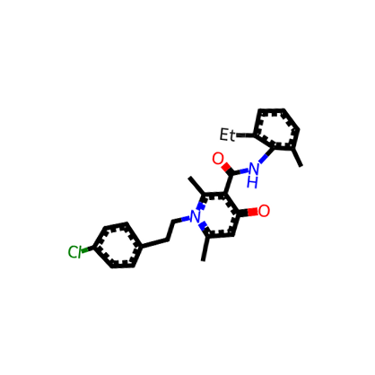 CCc1cccc(C)c1NC(=O)c1c(C)n(CCc2ccc(Cl)cc2)c(C)cc1=O